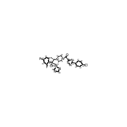 C[C@@H](N1CCN(C(=O)c2nc(-c3ccc(Cl)cc3)ns2)CC1)[C@](O)(Cn1cncn1)c1ccc(F)cc1F